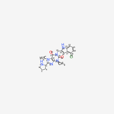 Cn1c(C2CCCN2)nc2c1c(=O)n(Cc1cc3c(Cl)cccc3[nH]1)c(=O)n2C